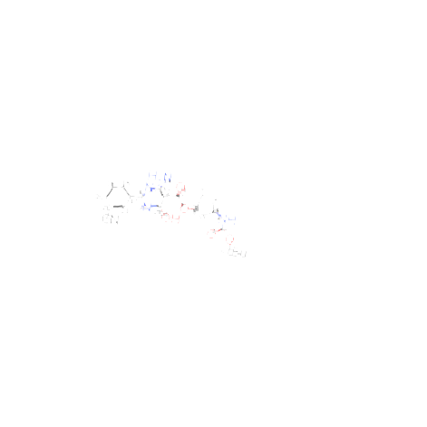 CC(C)(C)OC(=O)N[C@@H]1CC[C@H](OC(=O)c2c(N)nc(-c3cccc(C#N)c3)nc2O)C1